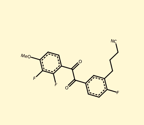 COc1ccc(C(=O)C(=O)c2ccc(F)c(CCCC#N)c2)c(F)c1F